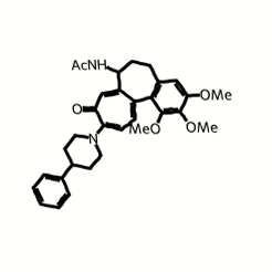 COc1cc2c(c(OC)c1OC)-c1ccc(N3CCC(c4ccccc4)CC3)c(=O)cc1C(NC(C)=O)CC2